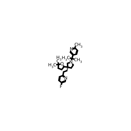 Cc1ccc(C(C)(C)N2CC[C@](CCc3ccc(F)cn3)(C3CCC(C)(C)O3)C2)cn1